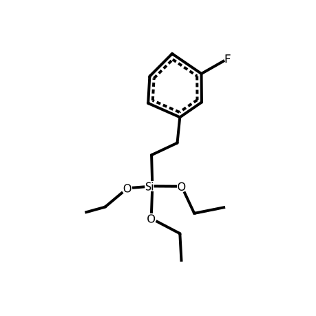 CCO[Si](CCc1cccc(F)c1)(OCC)OCC